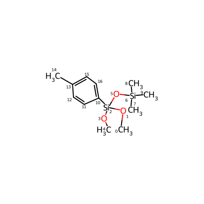 CO[Si](OC)(O[Si](C)(C)C)c1ccc(C)cc1